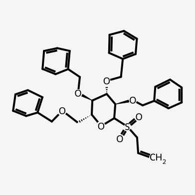 C=CCS(=O)(=O)C1O[C@H](COCc2ccccc2)[C@@H](OCc2ccccc2)[C@H](OCc2ccccc2)[C@H]1OCc1ccccc1